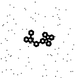 c1ccc(-c2nc(-c3cccc(-c4ccc(C5(c6ccccc6)c6ccccc6-c6ccccc65)cc4)c3)nc3ccccc23)cc1